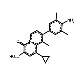 Cc1cc(-c2ccn3c(=O)c(C(=O)O)cc(C4CC4)c3c2C)cc(C)c1N